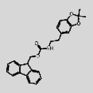 CC1(C)Oc2ccc(CCNC(=O)OCC3c4ccccc4-c4ccccc43)cc2O1